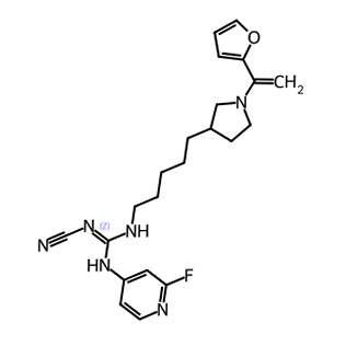 C=C(c1ccco1)N1CCC(CCCCCN/C(=N/C#N)Nc2ccnc(F)c2)C1